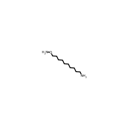 NCCCCCCCCCCON